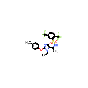 CCn1c(C(C)NS(=O)(=O)c2cc(C(F)(F)F)ccc2C(F)(F)F)cnc1Oc1ccc(C)cc1